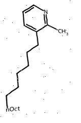 CCCCCCCCCCCCCCc1cccnc1C